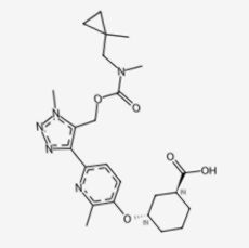 Cc1nc(-c2nnn(C)c2COC(=O)N(C)CC2(C)CC2)ccc1O[C@H]1CCC[C@H](C(=O)O)C1